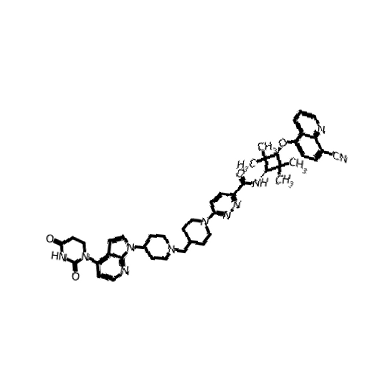 CC1(C)[C@H](NC(=O)c2ccc(N3CCC(CN4CCC(n5ccc6c(N7CCC(=O)NC7=O)ccnc65)CC4)CC3)nn2)C(C)(C)[C@H]1Oc1ccc(C#N)c2ncccc12